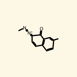 CN=[N+]=C1C=Cc2ccc(C)cc2C1=O